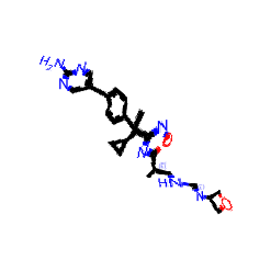 C/C(=C\N/C=N/C1COC1)c1nc(C(C)(c2ccc(-c3cnc(N)nc3)cc2)C2CC2)no1